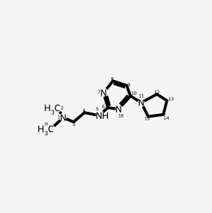 CN(C)CCNc1nccc(N2CCCC2)n1